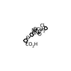 Cc1onc(-c2ccc(COc3cccc(C(=O)O)c3)cc2)c1NC(=O)OCCc1ccccc1Cl